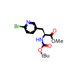 COC(=O)[C@H](Cc1ccc(Br)nc1)NC(=O)OC(C)(C)C